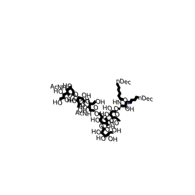 CCCCCCCCCCCCC/C=C/[C@@H](O)[C@H](CO[C@@H]1OC(CO)[C@@H](O[C@@H]2OC(CO[C@@H]3OC(CO)[C@@H](O[C@@H]4OC(CO)[C@H](O)[C@H](O[C@]5(C(=O)O)CC(O)[C@@H](NC(C)=O)C([C@H](O)[C@H](O)CO)O5)C4O)[C@H](O)C3NC(C)=O)[C@H](O)[C@H](O[C@H]3OC(CO)[C@H](O)[C@H](O)C3O)C2O)[C@H](O)C1O)NC(=O)CCCCCCCCCCCCCCC